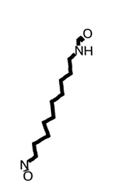 O=CNCCCCCCCCCCN=O